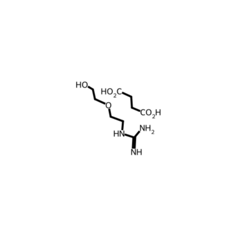 N=C(N)NCCOCCO.O=C(O)CCC(=O)O